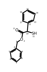 O=C(OCc1ccccc1)C(S)c1ccccc1